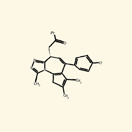 CC1=C(C)C2=C(C1)n1c(C)nnc1[C@H](CC(=O)C(C)C)C=C2c1ccc(Cl)cc1